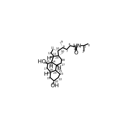 CC(C)NC(=O)CC[C@@H](C)[C@H]1CC[C@H]2[C@@H]3C(O)C[C@@H]4C[C@H](O)CC[C@]4(C)[C@H]3CC[C@]12C